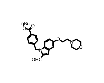 CCCCOC(=O)c1ccc(Cn2c(C=O)cc3cc(OCCN4CCOCC4)ccc32)cc1